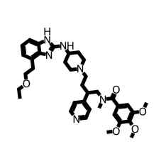 CCOCCc1cccc2[nH]c(NC3CCN(CCC(CN(C)C(=O)c4cc(OC)c(OC)c(OC)c4)c4ccncc4)CC3)nc12